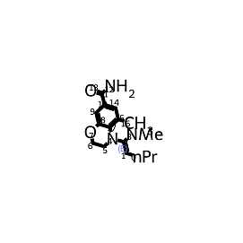 CCC/C=C(\NC)N1CCOc2cc(C(N)=O)cc(C)c21